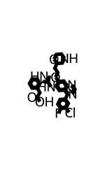 Fc1ccc(-c2ncnc3cc(OCCC4CNCCO4)c(NC4CNC4)cc23)cc1Cl.O=C(O)Cc1ccccc1